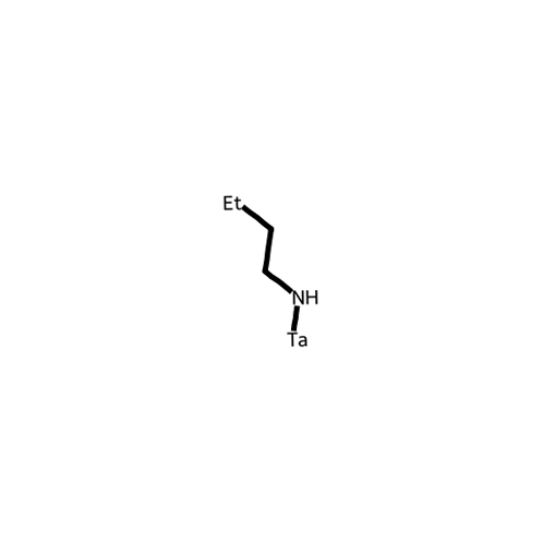 CCCC[NH][Ta]